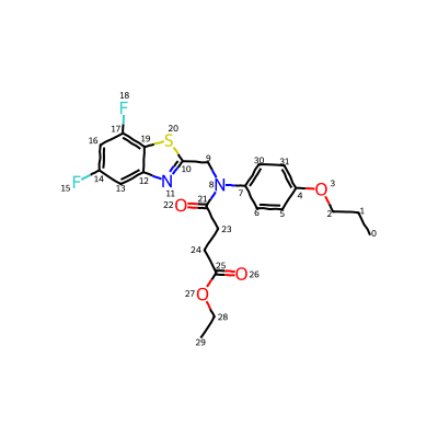 CCCOc1ccc(N(Cc2nc3cc(F)cc(F)c3s2)C(=O)CCC(=O)OCC)cc1